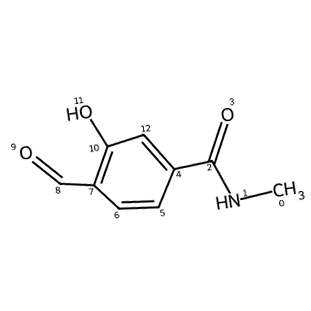 CNC(=O)c1ccc(C=O)c(O)c1